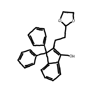 OC1=C(CCC2OCCO2)C(c2ccccc2)(c2ccccc2)c2ccccc21